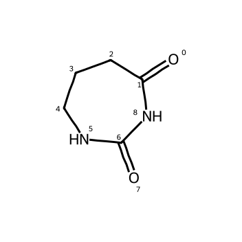 O=C1CCCNC(=O)N1